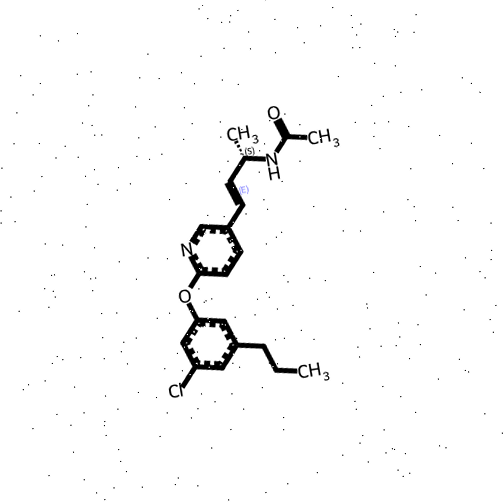 CCCc1cc(Cl)cc(Oc2ccc(/C=C/[C@H](C)NC(C)=O)cn2)c1